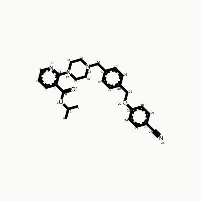 CC(C)OC(=O)c1cccnc1N1CCN(Cc2ccc(COc3ccc(C#N)cc3)cc2)CC1